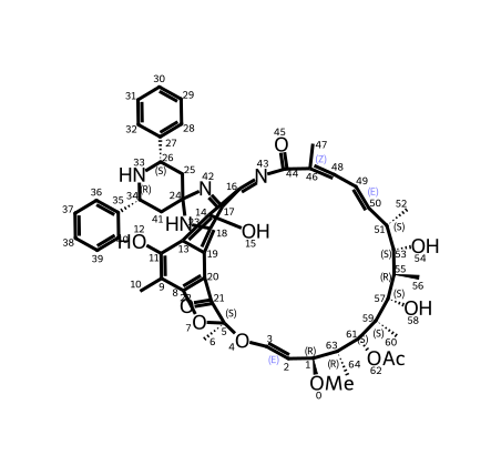 CO[C@H]1/C=C/O[C@@]2(C)Oc3c(C)c(O)c4c(O)c(c5c(c4c3C2=O)NC2(C[C@@H](c3ccccc3)N[C@@H](c3ccccc3)C2)N=5)=NC(=O)/C(C)=C\C=C\[C@H](C)[C@H](O)[C@@H](C)[C@H](O)[C@H](C)[C@H](OC(C)=O)[C@@H]1C